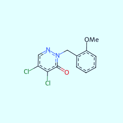 COc1ccccc1Cn1ncc(Cl)c(Cl)c1=O